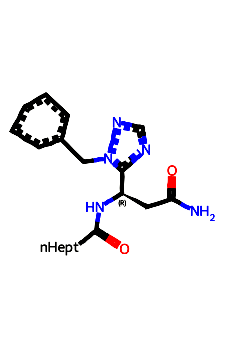 CCCCCCCC(=O)N[C@H](CC(N)=O)c1ncnn1Cc1ccccc1